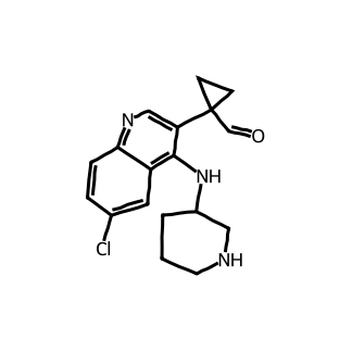 O=CC1(c2cnc3ccc(Cl)cc3c2NC2CCCNC2)CC1